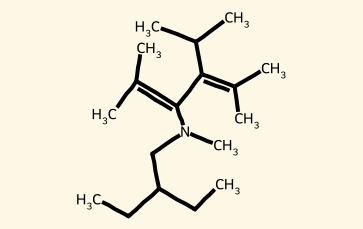 CCC(CC)CN(C)C(=C(C)C)C(=C(C)C)C(C)C